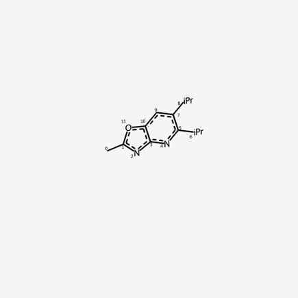 Cc1nc2nc(C(C)C)c(C(C)C)cc2o1